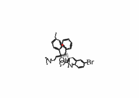 COc1nc2ccc(Br)cc2cc1[C@@H](c1ccccc1)[C@@](O)(CCN(C)C)c1ccc(I)cc1